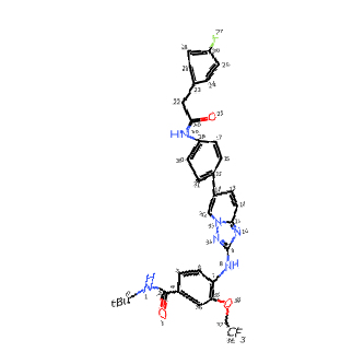 CC(C)(C)NC(=O)c1ccc(Nc2nc3ccc(-c4ccc(NC(=O)Cc5ccc(F)cc5)cc4)cn3n2)c(OCC(F)(F)F)c1